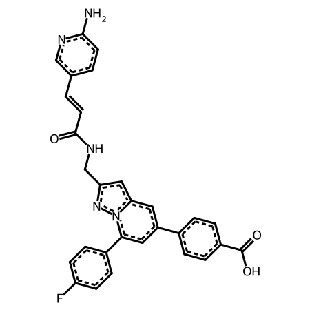 Nc1ccc(/C=C/C(=O)NCc2cc3cc(-c4ccc(C(=O)O)cc4)cc(-c4ccc(F)cc4)n3n2)cn1